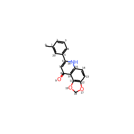 Cc1cccc(-c2cc(=O)c3c4c(ccc3[nH]2)OCO4)c1